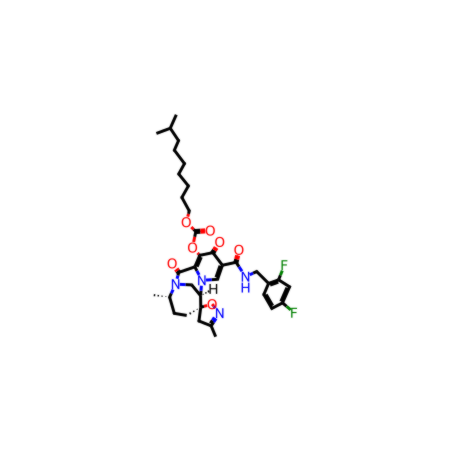 CC1=NO[C@@]2(CC[C@H](C)N3C[C@H]2n2cc(C(=O)NCc4ccc(F)cc4F)c(=O)c(OC(=O)OCCCCCCCC(C)C)c2C3=O)C1